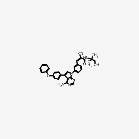 CC(C)(CO)NC(=O)C(C#N)=Cc1cccc(-n2cc(-c3ccc(Oc4ccccc4)cc3)c3c(N)ncnc32)c1